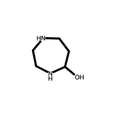 OC1CCNCCN1